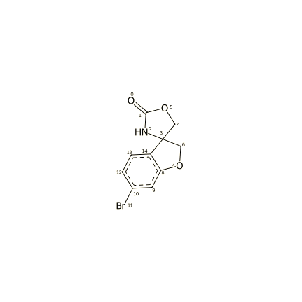 O=C1NC2(CO1)COc1cc(Br)ccc12